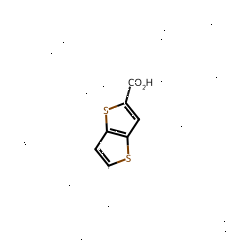 O=C(O)c1cc2s[c]cc2s1